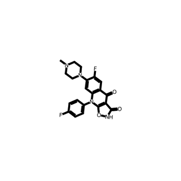 CN1CCN(c2cc3c(cc2F)c(=O)c2c(=O)[nH]oc2n3-c2ccc(F)cc2)CC1